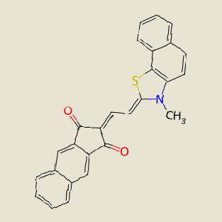 CN1/C(=C/C=C2C(=O)c3cc4ccccc4cc3C2=O)Sc2c1ccc1ccccc21